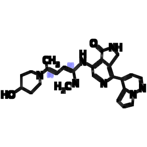 C=N/C(=C\C=C(/C)N1CCC(O)CC1)Nc1cnc(-c2ccnn3cccc23)c2c1C(=O)NC2